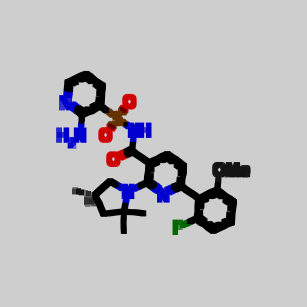 COc1cccc(F)c1-c1ccc(C(=O)NS(=O)(=O)c2cccnc2N)c(N2C[C@@H](C)CC2(C)C)n1